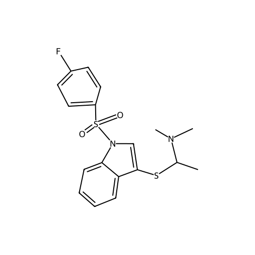 CC(Sc1cn(S(=O)(=O)c2ccc(F)cc2)c2ccccc12)N(C)C